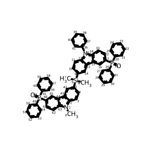 Cn1c2ccc([Si](C)(C)c3ccc4c(c3)c3cc(P(=O)(c5ccccc5)c5ccccc5)ccc3n4-c3ccccc3)cc2c2cc(P(=O)(c3ccccc3)c3ccccc3)ccc21